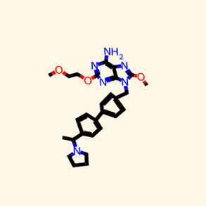 COCCOc1nc(N)c2nc(OC)n(Cc3ccc(-c4ccc(C(C)N5CCCC5)cc4)cc3)c2n1